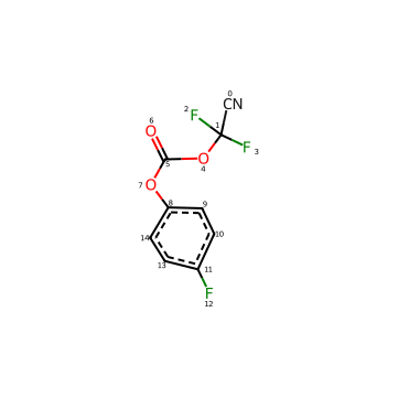 N#CC(F)(F)OC(=O)Oc1ccc(F)cc1